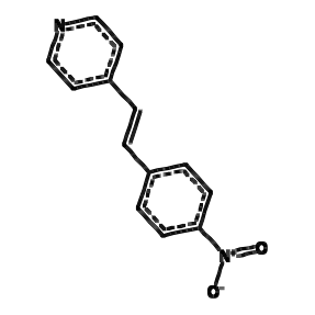 O=[N+]([O-])c1ccc(/C=C/c2ccncc2)cc1